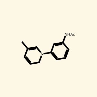 CC(=O)Nc1cccc(N2C=C(C)C=CC2)c1